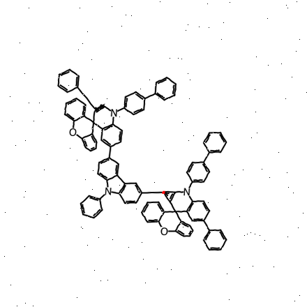 c1ccc(-c2ccc(N3c4ccc(-c5ccccc5)cc4C4(c5ccccc5Oc5ccccc54)c4cc(-c5ccc6c(c5)c5cc(-c7ccc8c(c7)C7(c9ccccc9Oc9ccccc97)c7cc(-c9ccccc9)ccc7N8c7ccc(-c8ccccc8)cc7)ccc5n6-c5ccccc5)ccc43)cc2)cc1